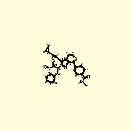 CN(C)C(=O)c1ccc(-c2nccc3c(C#CC4CC4)n(C(Cc4ccccc4)C(=O)NO)nc23)cc1